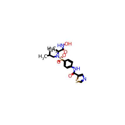 CC(C)CN(C(C)C(=O)NO)S(=O)(=O)c1ccc(NC(=O)c2cncs2)cc1